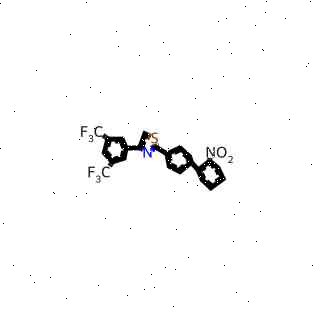 O=[N+]([O-])c1ccccc1-c1ccc(-c2nc(-c3cc(C(F)(F)F)cc(C(F)(F)F)c3)cs2)cc1